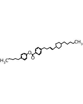 CCCCCc1ccc(OC(=O)c2ccc(CCC=CC3CCC(CCCCC)CC3)cc2)cc1